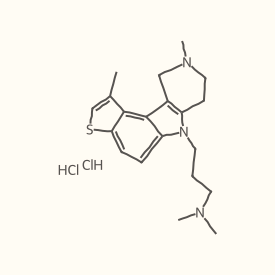 Cc1csc2ccc3c(c4c(n3CCCN(C)C)CCN(C)C4)c12.Cl.Cl